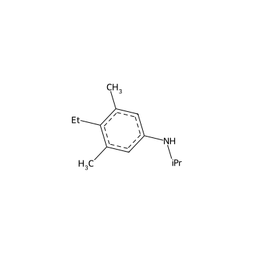 CCc1c(C)cc(NC(C)C)cc1C